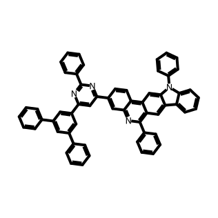 c1ccc(-c2cc(-c3ccccc3)cc(-c3cc(-c4ccc5c(c4)nc(-c4ccccc4)c4cc6c7ccccc7n(-c7ccccc7)c6cc45)nc(-c4ccccc4)n3)c2)cc1